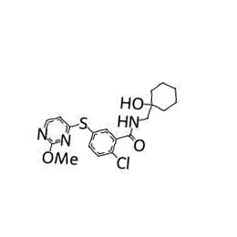 COc1nccc(Sc2ccc(Cl)c(C(=O)NCC3(O)CCCCC3)c2)n1